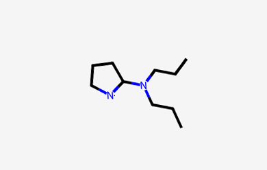 CCCN(CCC)C1CCC[N]1